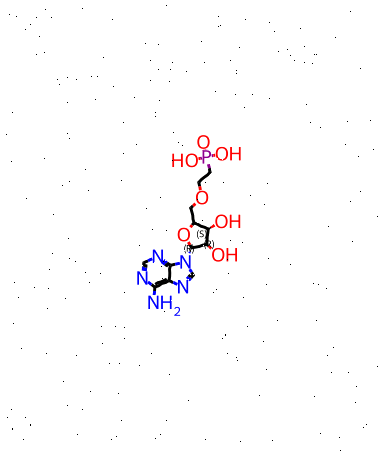 Nc1ncnc2c1ncn2[C@@H]1OC(COCCP(=O)(O)O)[C@@H](O)[C@H]1O